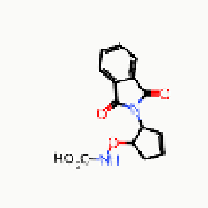 O=C(O)NOC1CC=CC1N1C(=O)c2ccccc2C1=O